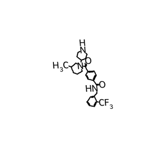 CC1CCC[N+](C(=O)c2ccc(C(=O)NCc3ccccc3C(F)(F)F)cc2)(C2CCNCC2)C1